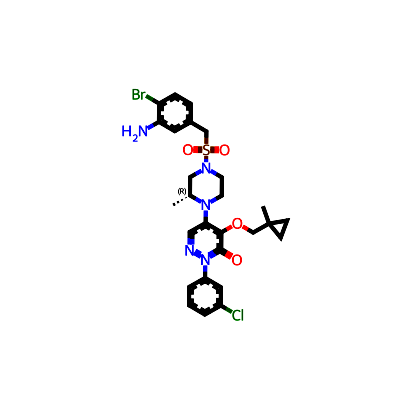 C[C@@H]1CN(S(=O)(=O)Cc2ccc(Br)c(N)c2)CCN1c1cnn(-c2cccc(Cl)c2)c(=O)c1OCC1(C)CC1